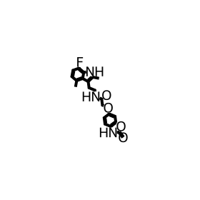 Cc1[nH]c2c(F)ccc(C)c2c1CCNC(=O)COc1ccc2[nH]c(=O)oc2c1